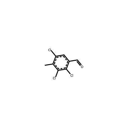 Cc1c(Cl)cc(C=O)c(Cl)c1Cl